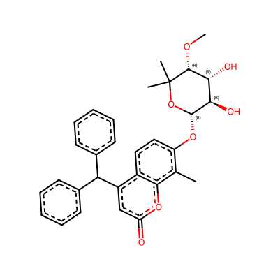 CO[C@@H]1[C@H](O)[C@@H](O)[C@H](Oc2ccc3c(C(c4ccccc4)c4ccccc4)cc(=O)oc3c2C)OC1(C)C